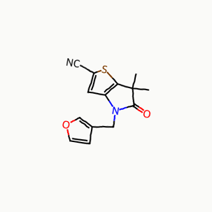 CC1(C)C(=O)N(Cc2ccoc2)c2cc(C#N)sc21